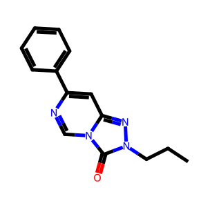 CCCn1nc2cc(-c3ccccc3)ncn2c1=O